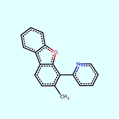 Cc1ccc2c(oc3ccccc32)c1-c1ccccn1